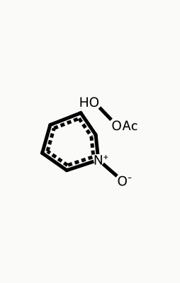 CC(=O)OO.[O-][n+]1ccccc1